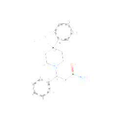 NC(=O)CC(c1ccccc1)N1CCC(C(=O)O)(c2ccccc2)CC1